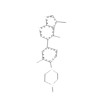 Cc1cc(-c2cnc3[nH]cc(I)c3c2C)ccc1N1CCN(C)CC1